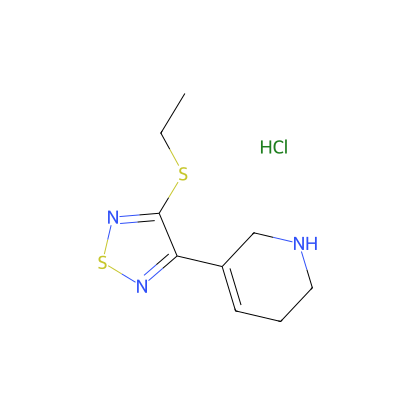 CCSc1nsnc1C1=CCCNC1.Cl